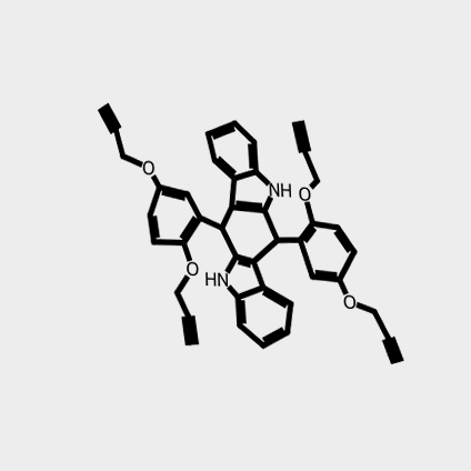 C#CCOc1ccc(OCC#C)c(C2c3[nH]c4ccccc4c3C(c3cc(OCC#C)ccc3OCC#C)c3[nH]c4ccccc4c32)c1